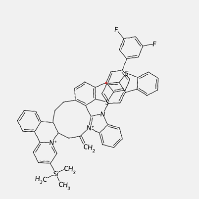 C=C1CC2C(CCc3ccc4c(sc5ccc(-c6cc(F)cc(F)c6)cc54)c3-c3n(-c4ccc5sc6ccccc6c5c4)c4ccccc4[n+]31)c1ccccc1-c1ccc([Si](C)(C)C)c[n+]12